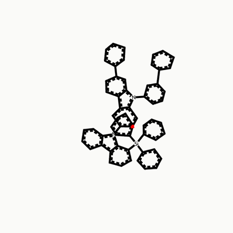 c1ccc(-c2cccc(-n3c4ccc(-n5c6ccccc6c6cccc([Si](c7ccccc7)(c7ccccc7)c7ccccc7)c65)cc4c4ccc(-c5ccccc5)cc43)c2)cc1